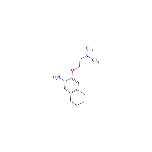 CN(C)CCOc1cc2c(cc1N)CCCC2